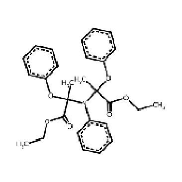 CCOC(=O)C(C)(Oc1ccccc1)N(c1ccccc1)C(C)(Oc1ccccc1)C(=O)OCC